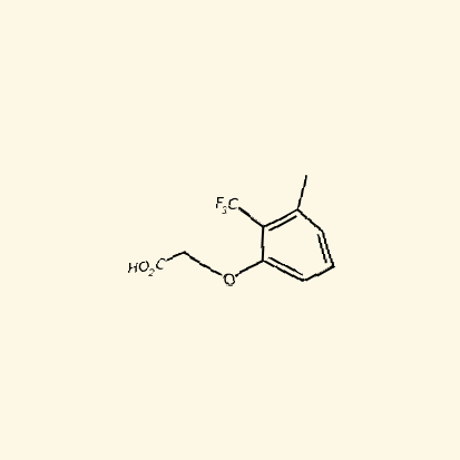 Cc1cccc(OCC(=O)O)c1C(F)(F)F